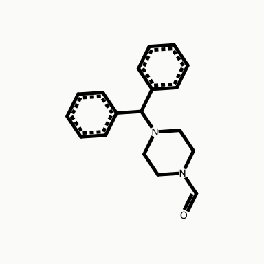 O=CN1CCN(C(c2ccccc2)c2ccccc2)CC1